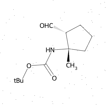 CC(C)(C)OC(=O)N[C@@]1(C)CCC[C@H]1C=O